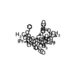 CC(C)C[C@@H](C(=O)O[C@H](C)C(=O)N(C)[C@@H](CC1CC1)C(=O)O[C@H](Cc1ccc(N2CCOCC2)cc1)C(=O)N(C)[C@@H](CC(C)C)C(=O)O[C@H](C)C(=O)OCc1ccccc1)N(C)C(=O)[C@@H](Cc1ccc(N2CCOCC2)cc1)OC(=O)[C@H](CC1CC1)N(C)COC(C)(C)C